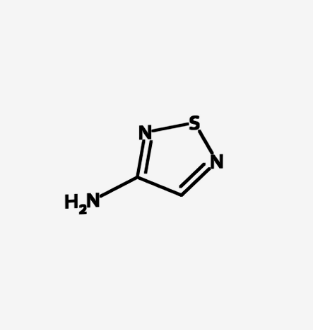 Nc1cnsn1